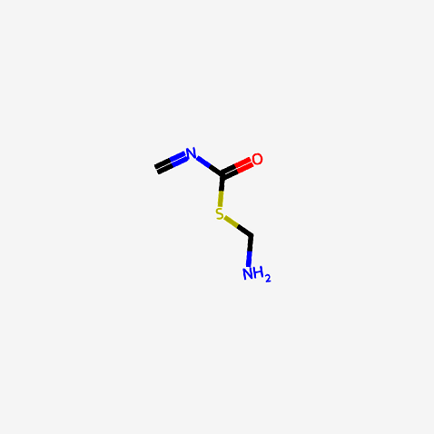 C=NC(=O)SCN